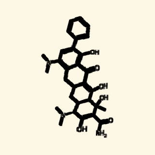 CN(C)c1cc(-c2ccccc2)c(O)c2c1CC1CC3C(C(O)=C1C2=O)C(C)(O)C(C(N)=O)=C(O)[C@H]3N(C)C